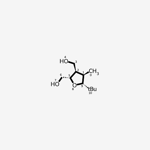 C[C@@H]1[C@H](CO)[C@@H](CO)O[C@H]1C(C)(C)C